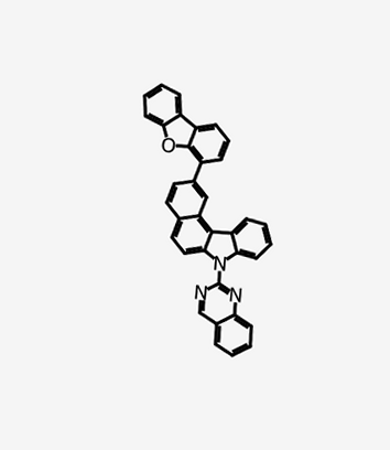 c1ccc2nc(-n3c4ccccc4c4c5cc(-c6cccc7c6oc6ccccc67)ccc5ccc43)ncc2c1